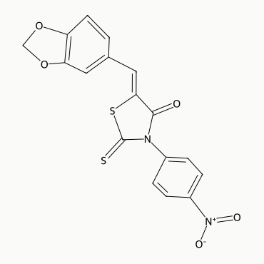 O=C1C(=Cc2ccc3c(c2)OCO3)SC(=S)N1c1ccc([N+](=O)[O-])cc1